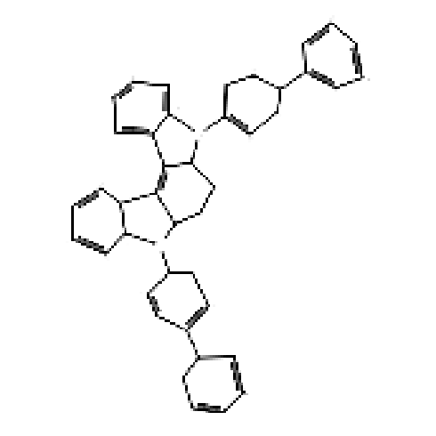 C1=CCC(C2=CCC(N3C4CCC5C(=C4C4C=CC=CC43)c3ccccc3N5C3=CCC(c4ccccc4)CC3)C=C2)C=C1